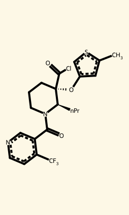 CCC[C@H]1N(C(=O)c2cnccc2C(F)(F)F)CCC[C@@]1(Oc1csc(C)c1)C(=O)Cl